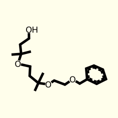 CC(C)(CCO)OCCC(C)(C)OCCOCc1ccccc1